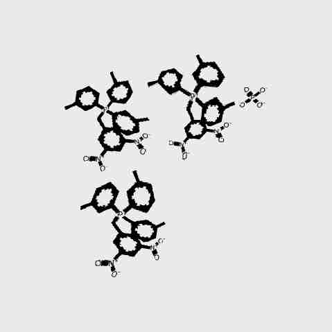 Cc1cccc([P+](Cc2cc([N+](=O)[O-])cc([N+](=O)[O-])c2)(c2cccc(C)c2)c2cccc(C)c2)c1.Cc1cccc([P+](Cc2cc([N+](=O)[O-])cc([N+](=O)[O-])c2)(c2cccc(C)c2)c2cccc(C)c2)c1.Cc1cccc([P+](Cc2cc([N+](=O)[O-])cc([N+](=O)[O-])c2)(c2cccc(C)c2)c2cccc(C)c2)c1.O=P([O-])([O-])[O-]